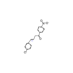 O=C(C/C=C/c1ccc(Cl)cc1)c1ccc([N+](=O)[O-])cc1